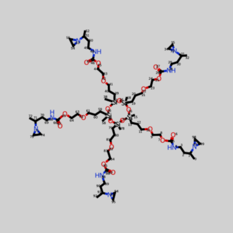 CC(CCNC(=O)OCCOCCC[Si]1(C)O[Si](C)(CCCOCCOC(=O)NCCC(C)N2CC2)O[Si](C)(CCCOCCOC(=O)NCCC(C)N2CC2)O[Si](C)(CCCOCCOC(=O)NCCC(C)N2CC2)O[Si](C)(CCCOCCOC(=O)NCCC(C)N2CC2)O1)N1CC1